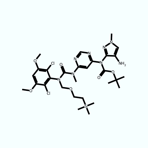 COc1cc(OC)c(Cl)c(N(COCC[Si](C)(C)C)C(=O)N(C)c2cc(N(C(=O)OC(C)(C)C)c3nn(C)cc3N)ncn2)c1Cl